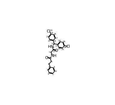 O=C(CCc1ccccc1)NCC(=O)NC(c1ccc(Cl)cc1)c1ccc(Cl)cc1